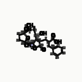 C[C@@H]1C[C@H](O)C2=C(CC(Cc3ccccc3)C(=O)O)C(=O)O/C2=C/C2(C)CCC1(O)O2